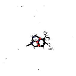 CCOc1cnc(C2=C(/C)CC/C=C/C=C\2)nc1[S+](C)[O-]